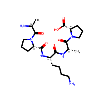 C[C@H](N)C(=O)N1CCC[C@H]1C(=O)N[C@@H](CCCCN)C(=O)N[C@@H](C)C(=O)N1CCC[C@H]1C(=O)O